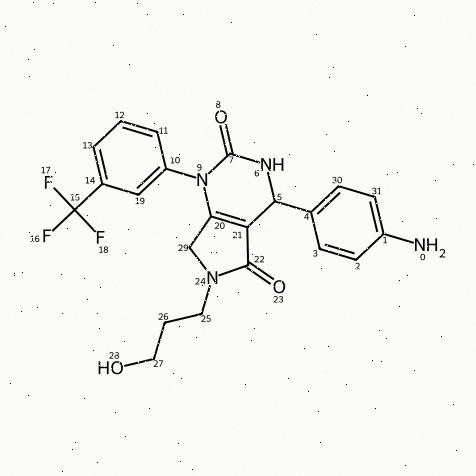 Nc1ccc(C2NC(=O)N(c3cccc(C(F)(F)F)c3)C3=C2C(=O)N(CCCO)C3)cc1